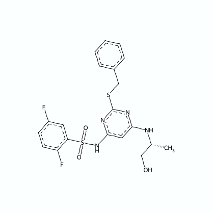 C[C@H](CO)Nc1cc(NS(=O)(=O)c2cc(F)ccc2F)nc(SCc2ccccc2)n1